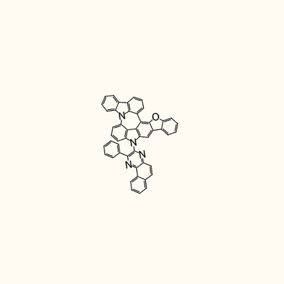 c1ccc(-c2nc3c(ccc4ccccc43)nc2-n2c3cc4c5ccccc5oc4c4c5cccc6c7ccccc7n(c7cccc2c7c43)c65)cc1